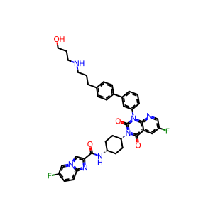 O=C(N[C@H]1CC[C@@H](n2c(=O)c3cc(F)cnc3n(-c3cccc(-c4ccc(CCCNCCCO)cc4)c3)c2=O)CC1)c1cn2cc(F)ccc2n1